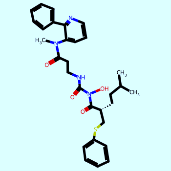 CC(C)CC[C@H](CSc1ccccc1)C(=O)N(O)C(=O)NCCC(=O)N(C)c1cccnc1-c1ccccc1